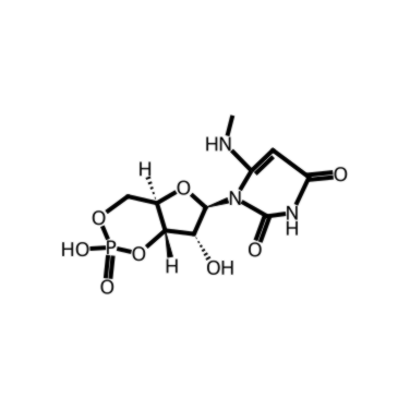 CNc1cc(=O)[nH]c(=O)n1[C@@H]1O[C@@H]2COP(=O)(O)O[C@H]2[C@H]1O